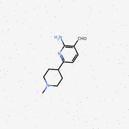 CN1CCC(c2ccc(C=O)c(N)n2)CC1